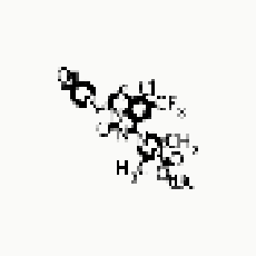 CC1CN(c2nc(=O)n3c4c(c(Cl)c(C(F)(F)F)cc24)SC[C@@H]3CN2CCC3(CC2)COC3)C[C@@H](C)N1C(=O)OC(C)(C)C